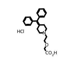 Cl.O=C(O)COCCN1CCC(=C(c2ccccc2)c2ccccc2)CC1